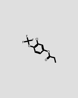 CCC(=O)Oc1ccc(OC(F)(F)F)c(Cl)c1